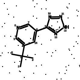 CC(C)(C)c1cncc(-c2nn[nH]n2)c1